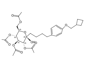 CC(=O)OC[C@H]1O[C@](O)(CCCCc2ccc(OCC3CCC3)cc2)[C@H](OC(C)=O)[C@@H](OC(C)=O)[C@@H]1OC(C)=O